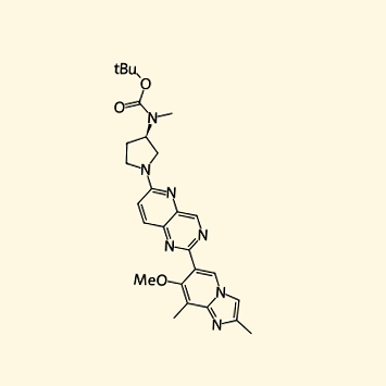 COc1c(-c2ncc3nc(N4CC[C@@H](N(C)C(=O)OC(C)(C)C)C4)ccc3n2)cn2cc(C)nc2c1C